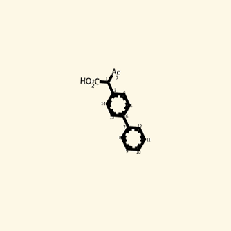 CC(=O)C(C(=O)O)c1ccc(-c2ccccc2)cc1